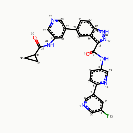 O=C(Nc1ccc(-c2cncc(F)c2)nc1)c1n[nH]c2ccc(-c3cncc(NC(=O)C4CC4)c3)cc12